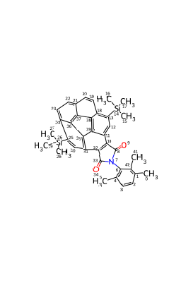 Cc1ccc(C)c(-n2c(=O)c3c4cc([Si](C)(C)C)c5ccc6ccc7c([Si](C)(C)C)cc(c3c2=O)c2c7c6c5c42)c1C